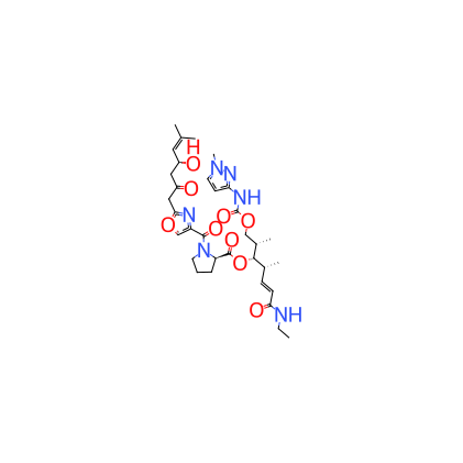 CCNC(=O)/C=C/[C@@H](C)[C@H](OC(=O)[C@H]1CCCN1C(=O)c1coc(CC(=O)C[C@H](O)C=C(C)C)n1)[C@@H](C)COC(=O)Nc1ccn(C)n1